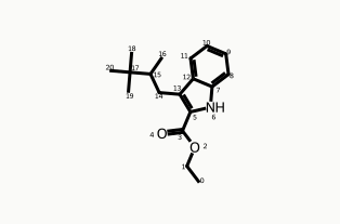 CCOC(=O)c1[nH]c2ccccc2c1CC(C)C(C)(C)C